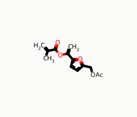 C=C(C)C(=O)OC(=C)c1ccc(COC(C)=O)o1